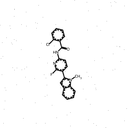 Cn1c(-c2ccc(NC(=O)c3ccccc3Cl)nc2F)cc2ccccc21